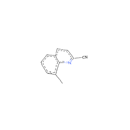 Cc1cccc2ccc(C#N)nc12